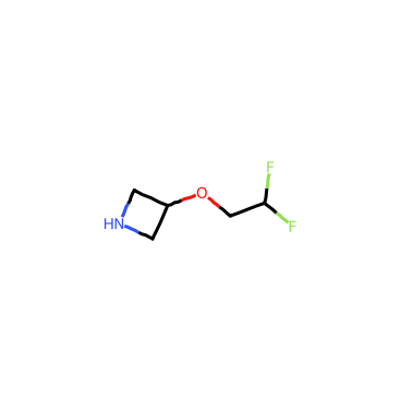 FC(F)COC1CNC1